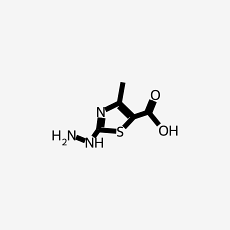 Cc1nc(NN)sc1C(=O)O